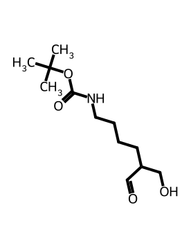 CC(C)(C)OC(=O)NCCCCC(C=O)CO